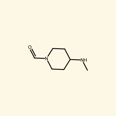 CNC1CCN([C]=O)CC1